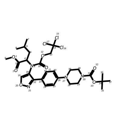 COC(=O)C(CC(C)C)N(C(=O)OCC(Cl)(Cl)Cl)c1conc1-c1ccc(N2CCN(C(=O)OC(C)(C)C)CC2)cc1